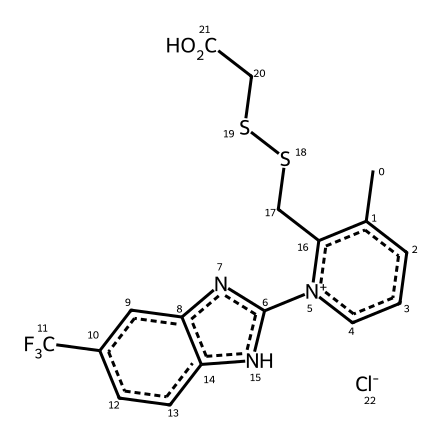 Cc1ccc[n+](-c2nc3cc(C(F)(F)F)ccc3[nH]2)c1CSSCC(=O)O.[Cl-]